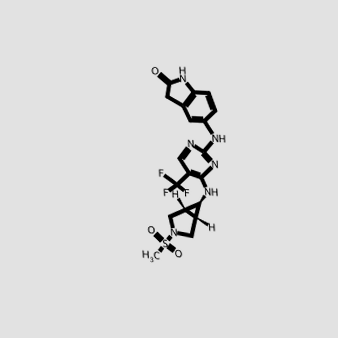 CS(=O)(=O)N1C[C@@H]2[C@H](C1)[C@H]2Nc1nc(Nc2ccc3c(c2)CC(=O)N3)ncc1C(F)(F)F